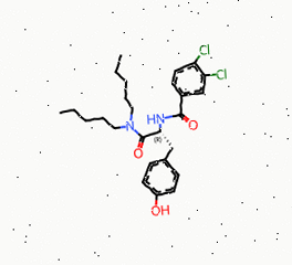 CCCCCN(CCCCC)C(=O)[C@@H](Cc1ccc(O)cc1)NC(=O)c1ccc(Cl)c(Cl)c1